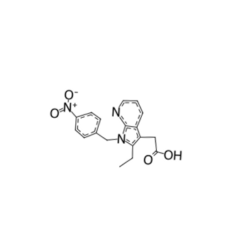 CCc1c(CC(=O)O)c2cccnc2n1Cc1ccc([N+](=O)[O-])cc1